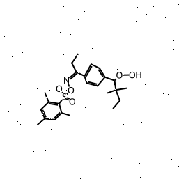 CC/C(=N/OS(=O)(=O)c1c(C)cc(C)cc1C)c1ccc(C(OO)C(C)(C)CC)cc1